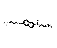 C=CCOCc1ccc2cc(C(=O)OCC=C)ccc2c1